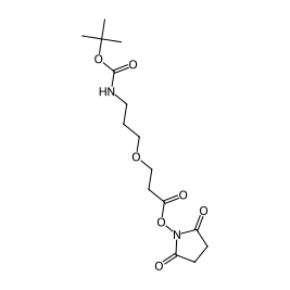 CC(C)(C)OC(=O)NCCCOCCC(=O)ON1C(=O)CCC1=O